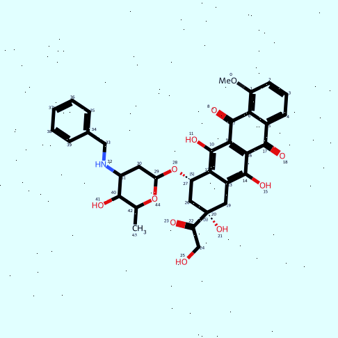 COc1cccc2c1C(=O)c1c(O)c3c(c(O)c1C2=O)C[C@@](O)(C(=O)CO)C[C@@H]3OC1CC(NCc2ccccc2)C(O)C(C)O1